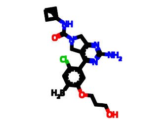 Bc1cc(Cl)c(-c2nc(N)nc3c2CN(C(=O)NC24CC(C2)C4)C3)cc1OCCCO